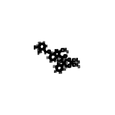 Cc1nc2c(OCc3cccc(F)c3F)cccn2c1C(=O)NC1(c2ccccn2)COC(C)(C)OC1